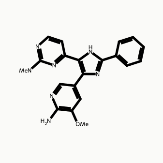 CNc1nccc(-c2[nH]c(-c3ccccc3)nc2-c2cnc(N)c(OC)c2)n1